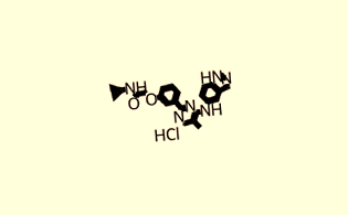 Cc1cnc(-c2cccc(OCC(=O)NC3CC3)c2)nc1Nc1ccc2[nH]ncc2c1.Cl